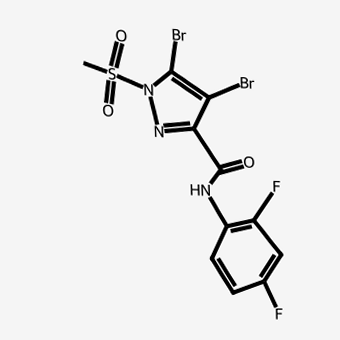 CS(=O)(=O)n1nc(C(=O)Nc2ccc(F)cc2F)c(Br)c1Br